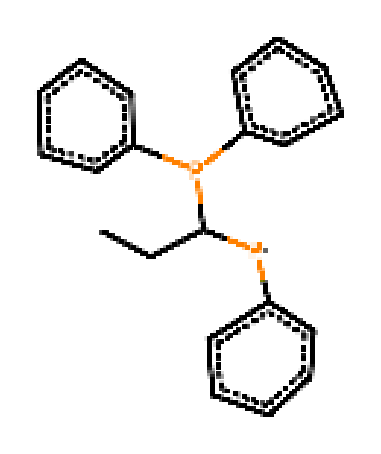 CCC([P]c1ccccc1)P(c1ccccc1)c1ccccc1